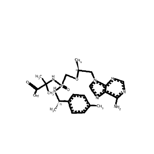 Cc1ccc([C@H](C)NP(=O)(CO[C@@H](C)Cn2cnc3c(N)ncnc32)NC(C)(C)C(=O)O)cc1